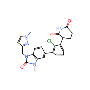 Cn1ccc(Cn2c(=O)n(C)c3cc(-c4cccc(C5CCC(=O)NC5=O)c4Cl)ccc32)n1